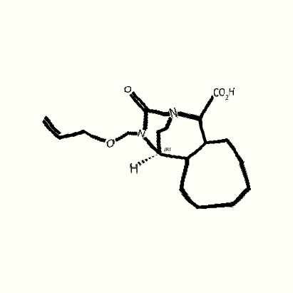 C=CCON1C(=O)N2C[C@H]1C1CCCCCCC1C2C(=O)O